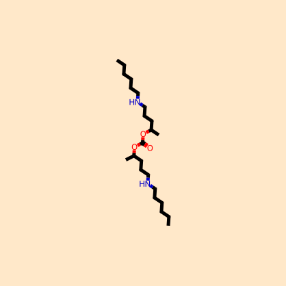 CCCCCCNCCCC(C)OC(=O)OC(C)CCCNCCCCCC